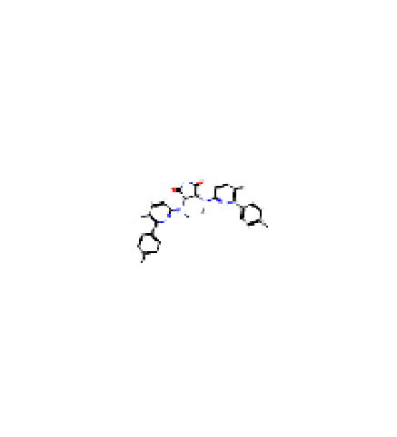 Cc1ccc(-c2nc(N(C)C3C(=O)NC(=O)C3N(C)c3ccc(C(F)(F)F)c(-c4ccc(C)cc4)n3)ccc2C(F)(F)F)cc1